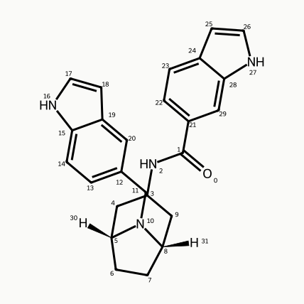 O=C(NC1C[C@H]2CC[C@@H](C1)N2Cc1ccc2[nH]ccc2c1)c1ccc2cc[nH]c2c1